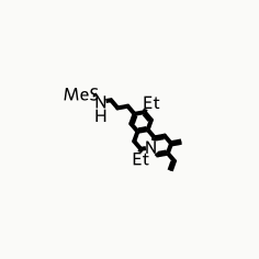 C=CC1=CN2C(=CC1=C)c1cc(CC)c(CCCNSC)cc1CC2CC